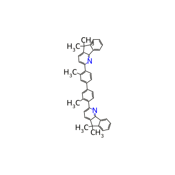 Cc1cc(-c2ccc(-c3ccc4c(n3)-c3ccccc3C4(C)C)c(C)c2)ccc1-c1ccc2c(n1)-c1ccccc1C2(C)C